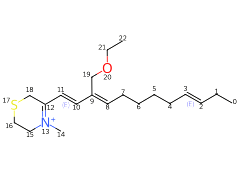 CC/C=C/CCCCC=C(/C=C/C1=[N+](C)CCSC1)COCC